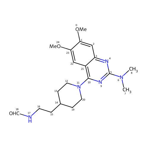 COc1cc2nc(N(C)C)nc(N3CCC(CCNC=O)CC3)c2cc1OC